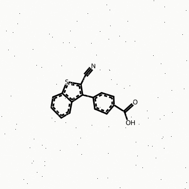 N#Cc1sc2ccccc2c1-c1ccc(C(=O)O)cc1